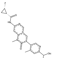 CCCC(O)c1cc(C)c(-c2cc3cnc(NC(=O)[C@@H]4C[C@@H]4F)cc3n(C)c2=O)cn1